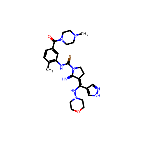 Cc1ccc(C(=O)N2CCN(C)CC2)cc1NC(=S)N1CC/C(=C(/NN2CCOCC2)c2cn[nH]c2)C1=N